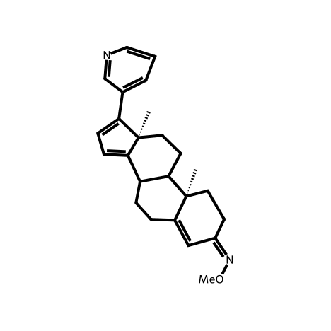 CON=C1C=C2CCC3C4=CC=C(c5cccnc5)[C@@]4(C)CCC3[C@@]2(C)CC1